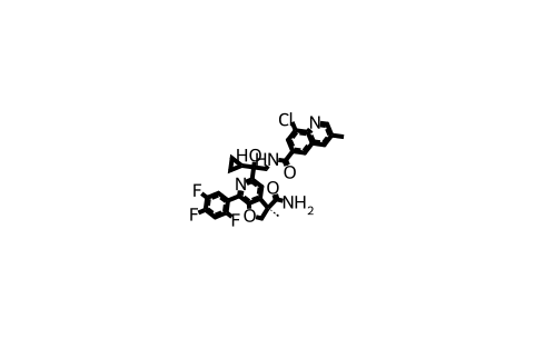 Cc1cnc2c(Cl)cc(C(=O)NCC(O)(c3cc4c(c(-c5cc(F)c(F)cc5F)n3)OC[C@]4(C)C(N)=O)C3CC3)cc2c1